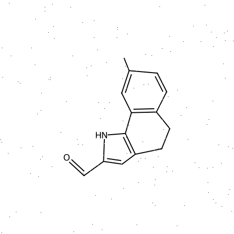 Cc1ccc2c(c1)-c1[nH]c(C=O)cc1CC2